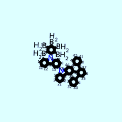 Bc1c(B)c(B)c(-n2c3ccccc3c3cc(-n4c5ccccc5c5cc(-c6c(-c7ccccc7)cccc6-c6ccccc6)ccc54)ccc32)c(B)c1B